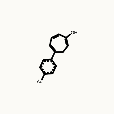 CC(=O)c1ccc(C2=CC=CC(O)=CC2)cc1